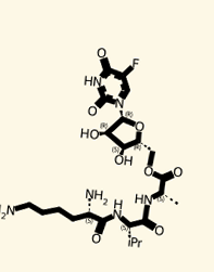 CC(C)[C@H](NC(=O)[C@@H](N)CCCCN)C(=O)N[C@@H](C)C(=O)OC[C@H]1O[C@@H](n2cc(F)c(=O)[nH]c2=O)[C@H](O)[C@@H]1O